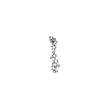 O=C(c1ccc(-c2ccc(OCC3CCN(CC4(S(=O)(=O)C(F)(F)F)CCC4)CC3)cc2F)cc1F)N1CCCC(O)C1